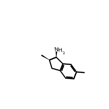 Cc1ccc2c(c1)[C@H](N)[C@H](C)C2